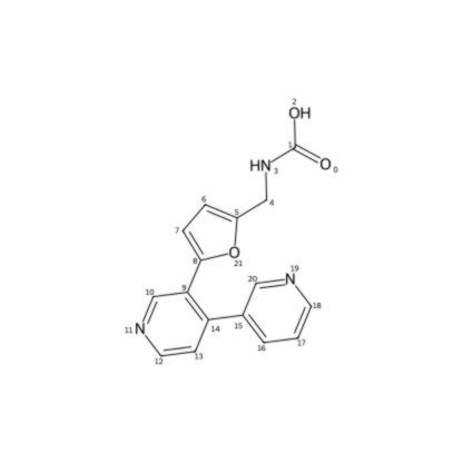 O=C(O)NCc1ccc(-c2cnccc2-c2cccnc2)o1